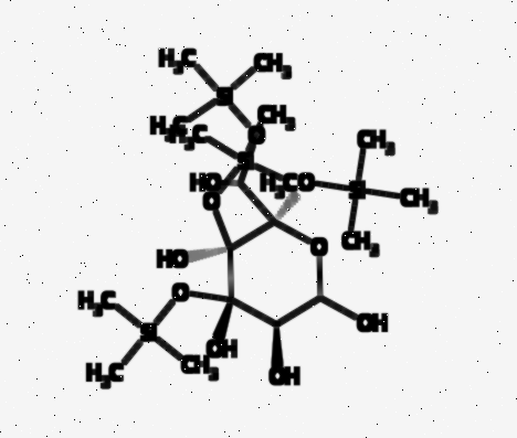 C[Si](C)(C)OC(O)[C@@]1(O[Si](C)(C)C)OC(O)[C@@H](O)[C@](O)(O[Si](C)(C)C)[C@@]1(O)O[Si](C)(C)C